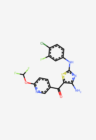 Nc1nc(Nc2ccc(Cl)c(F)c2)sc1C(=O)c1ccc(OC(F)F)nc1